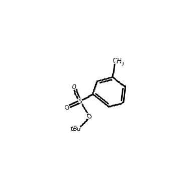 Cc1cccc(S(=O)(=O)OC(C)(C)C)c1